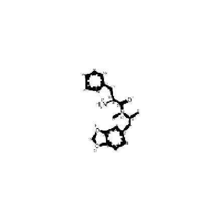 CC(Cc1ccc2c(c1)OCO2)N(C)C(=O)[C@@H](N)Cc1ccccc1